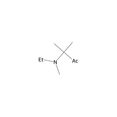 CCN(C)C(C)(C)C(C)=O